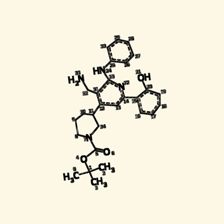 CC(C)(C)OC(=O)N1CCCC(c2cc(-c3ccccc3O)nc(Nc3ccccc3)c2CN)C1